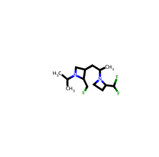 CC(C)N1CC(CC(C)N2CCC2C(F)F)C1CF